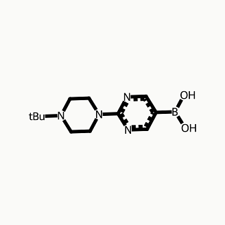 CC(C)(C)N1CCN(c2ncc(B(O)O)cn2)CC1